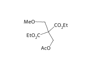 CCOC(=O)C(COC)(COC(C)=O)C(=O)OCC